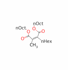 CCCCCCCCOC(=O)C(C)=C(CCCCCC)C(=O)OCCCCCCCC